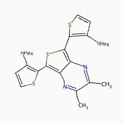 CCCCCCc1ccsc1-c1sc(-c2sccc2CCCCCC)c2nc(C)c(C)nc12